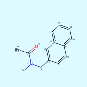 CC(C)C(=O)N(C)Cc1ccc2ccccc2c1